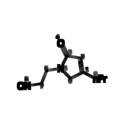 CCCC1=CC(=O)N(CCN=O)C1